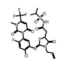 C=CCN1C(=O)C(CC(=O)NS(=O)(=O)C(C)C)S/C1=N\c1cc(-n2c(=O)cc(C(F)(F)F)n(C)c2=O)c(F)cc1Cl